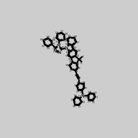 CC1(C)c2cc(C#Cc3ccc(N(c4ccccc4)c4ccccc4)cc3)ccc2-c2cc3c(cc21)c1ccccc1n3-c1nnc(-c2ccccc2)n1-c1ccccc1